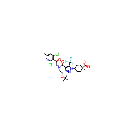 Cc1cc(Cl)c(C(=O)CN(CCOC(C)(C)C)C(=O)c2cnn([C@H]3CC[C@](C)(C(=O)O)CC3)c2C(F)(F)F)c(Cl)n1